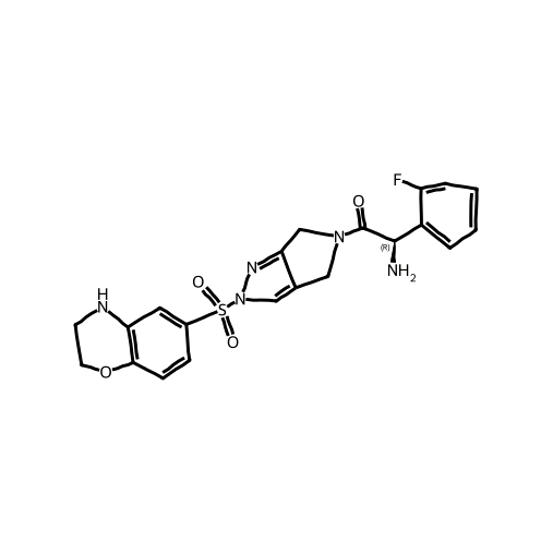 N[C@@H](C(=O)N1Cc2cn(S(=O)(=O)c3ccc4c(c3)NCCO4)nc2C1)c1ccccc1F